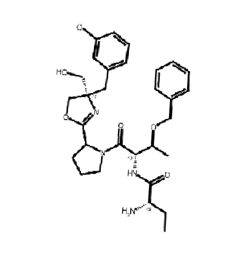 CC[C@H](N)C(=O)N[C@H](C(=O)N1CCCC1C1=N[C@](CO)(Cc2cccc(Cl)c2)CO1)C(C)OCc1ccccc1